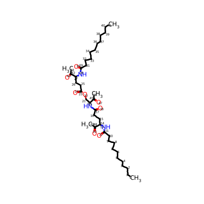 CCCCCCCCCCCC(=O)NC(CCC(=O)NC(COC(=O)CCC(NC(=O)CCCCCCCCCCC)C(C)=O)C(C)=O)C(C)=O